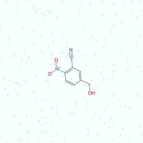 N#Cc1cc([CH]O)ccc1[N+](=O)[O-]